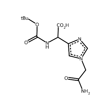 CC(C)(C)OC(=O)NC(C(=O)O)c1cn(CC(N)=O)cn1